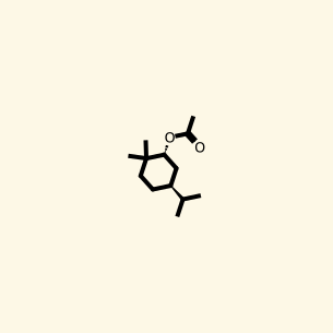 CC(=O)O[C@@H]1C[C@@H](C(C)C)CCC1(C)C